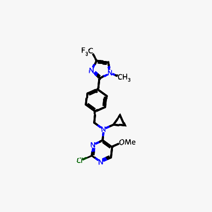 COc1cnc(Cl)nc1N(Cc1ccc(-c2nc(C(F)(F)F)cn2C)cc1)C1CC1